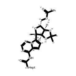 CCCCCCCC(=O)Nc1ncnn2c([C@]3(C)O[C@H](COC(=O)C(C)C)[C@H]4OC(C)(C)O[C@H]43)ccc12